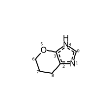 c1nc2c([nH]1)OCCC2